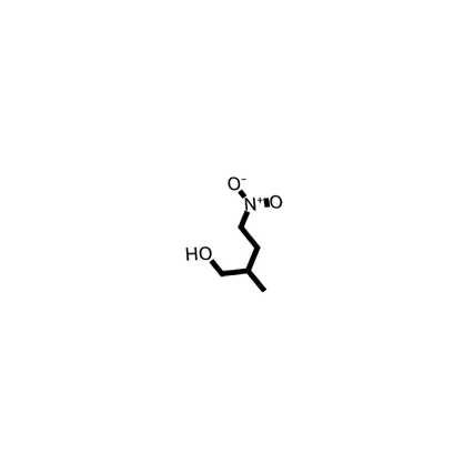 CC(CO)CC[N+](=O)[O-]